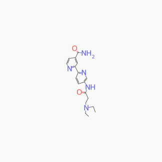 CCN(CC)CCC(=O)Nc1ccc(-c2cc(C(N)=O)ccn2)nc1